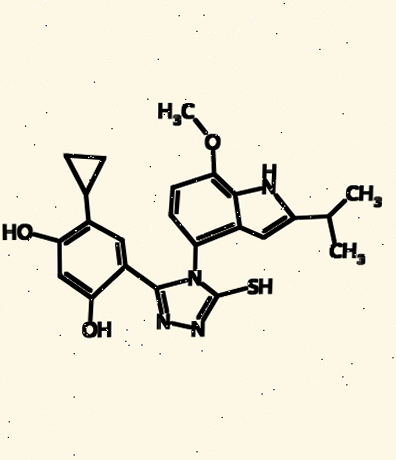 COc1ccc(-n2c(S)nnc2-c2cc(C3CC3)c(O)cc2O)c2cc(C(C)C)[nH]c12